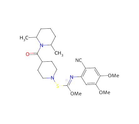 CO/C(=N\c1cc(OC)c(OC)cc1C#N)SN1CCC(C(=O)N2C(C)CCCC2C)CC1